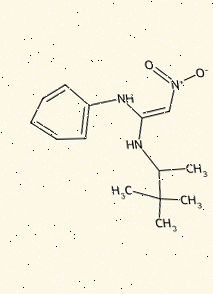 CC(NC(=C[N+](=O)[O-])Nc1ccccc1)C(C)(C)C